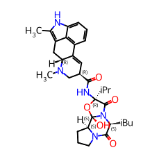 CCC(C)[C@H]1C(=O)N2CCC[C@H]2[C@]2(O)O[C@](NC(=O)[C@@H]3C=C4c5cccc6[nH]c(C)c(c56)C[C@H]4N(C)C3)(C(C)C)C(=O)N12